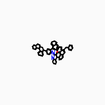 C=C1C(n2c3ccc(C4Cc5ccc6ccccc6c5-c5ccccc54)cc3c3c4ccccc4ccc32)=Nc2ccccc2C1c1cccc2cc(Cc3ccccc3)c3ccccc3c12